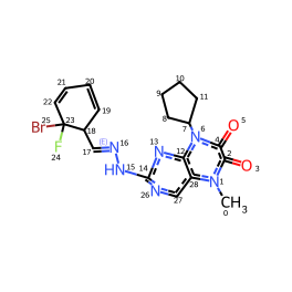 Cn1c(=O)c(=O)n(C2CCCC2)c2nc(N/N=C/C3C=CC=CC3(F)Br)ncc21